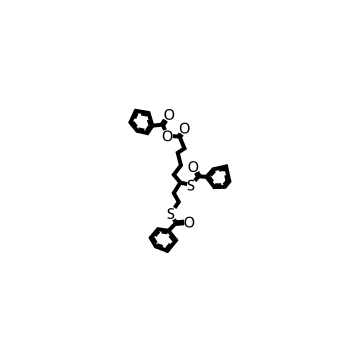 O=C(CCCCC(CCSC(=O)c1ccccc1)SC(=O)c1ccccc1)OC(=O)c1ccccc1